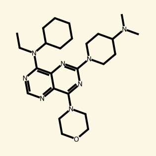 CCN(c1ncnc2c(N3CCOCC3)nc(N3CCC(N(C)C)CC3)nc12)C1CCCCC1